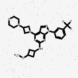 COC1CC(Nc2nc(N3CC(N4CCOCC4)C3)c3cnn(-c4cccc(C(F)(F)F)c4)c3n2)C1